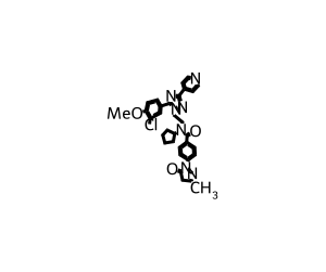 COc1ccc(-c2nc(-c3ccncc3)nn2CCN(C(=O)c2ccc(N3N=C(C)CC3=O)cc2)C2CCCC2)cc1Cl